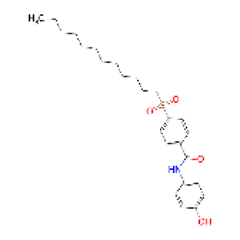 CCCCCCCCCCCCS(=O)(=O)c1ccc(C(=O)Nc2ccc(O)cc2)cc1